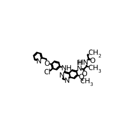 C=CC(=O)NC(C)C(=O)Nc1cc2c(Nc3ccc(OCc4ccccn4)c(Cl)c3)ncnc2cc1OC